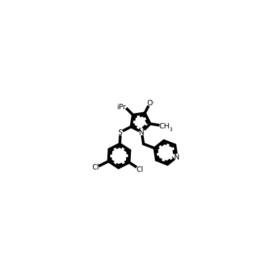 Cc1c([O])c(C(C)C)c(Sc2cc(Cl)cc(Cl)c2)n1Cc1ccncc1